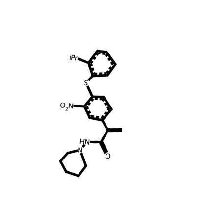 C=C(C(=O)NN1CCCCC1)c1ccc(Sc2ccccc2C(C)C)c([N+](=O)[O-])c1